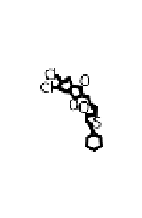 O=C1C(=Cc2cc3sc(C4CCCCC4)cc3o2)C(=O)c2cc(Cl)c(Cl)cc21